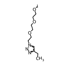 CCc1cn(CCOCCOCCOI)nn1